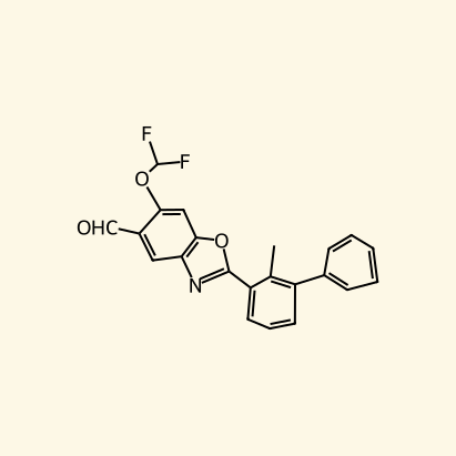 Cc1c(-c2ccccc2)cccc1-c1nc2cc(C=O)c(OC(F)F)cc2o1